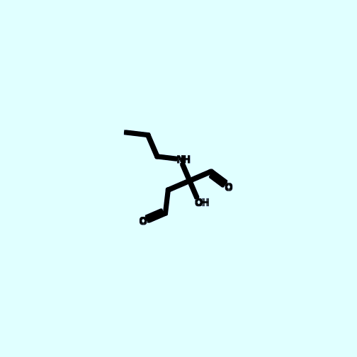 CCCNC(O)(C=O)CC=O